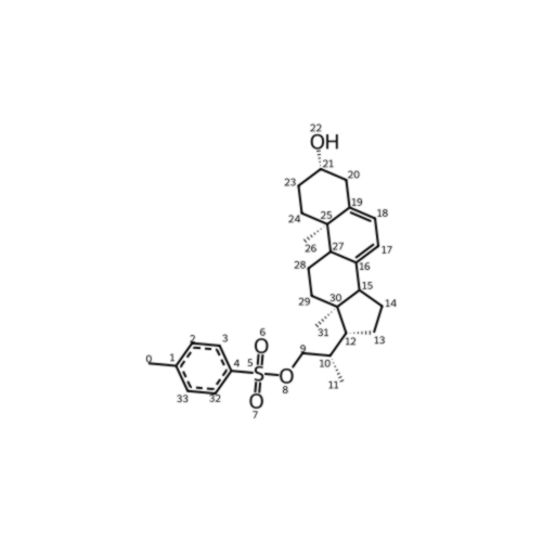 Cc1ccc(S(=O)(=O)OC[C@@H](C)[C@H]2CCC3C4=CC=C5C[C@@H](O)CC[C@]5(C)C4CC[C@@]32C)cc1